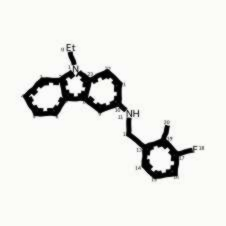 CCn1c2ccccc2c2cc(NCc3cccc(F)c3C)ccc21